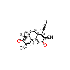 [C-]#[N+]C1=CC2(C)C3=CC(=O)C(C#N)=C(C#CC)C3CCC2C(C)(C)C1=O